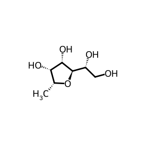 C[C@H]1O[C@H]([C@H](O)CO)[C@@H](O)[C@H]1O